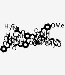 COc1ccc(CC(NC(=O)C(NC(=O)CN2CCOCC2)C(C)O)C(=O)NC(Cc2cccc(-c3cc(CC(NC(=O)C(C)NC(=O)C4CN(C)C4)C(=O)NC(Cc4ccccc4)C(=O)C4(C)CO4)ccc3OC)c2)C(=O)C2(C)CO2)cc1